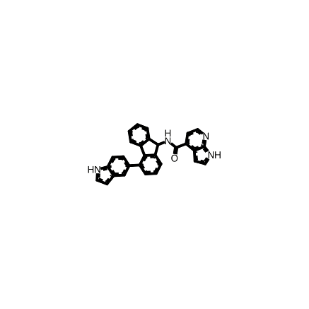 O=C(NC1c2ccccc2-c2c(-c3ccc4[nH]ccc4c3)cccc21)c1ccnc2[nH]ccc12